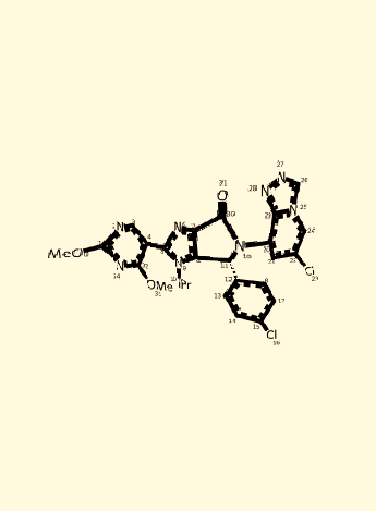 COc1ncc(-c2nc3c(n2C(C)C)[C@@H](c2ccc(Cl)cc2)N(c2cc(Cl)cn4cnnc24)C3=O)c(OC)n1